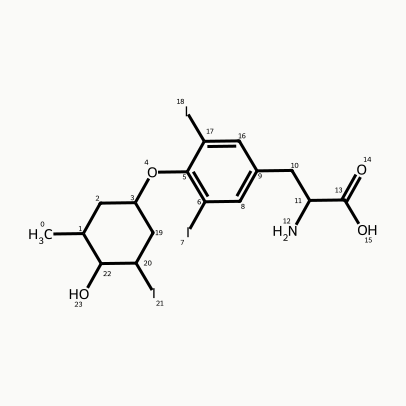 CC1CC(Oc2c(I)cc(CC(N)C(=O)O)cc2I)CC(I)C1O